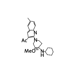 CO[C@H]1CN(c2nc3ccc(C)cc3cc2C(C)=O)CCC1NC1CCCCC1